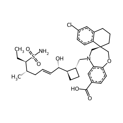 CC[C@H]([C@@H](C)CC=C[C@H](O)[C@@H]1CC[C@H]1CN1C[C@@]2(CCCc3cc(Cl)ccc32)COc2ccc(C(=O)O)cc21)S(N)(=O)=O